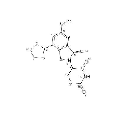 COc1cc2c(c(C3CCCC3)c1)CN(C1CCC(=O)NC1=O)C2=O